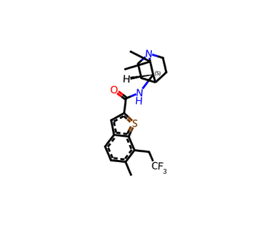 Cc1ccc2cc(C(=O)N[C@H]3C4CCN(CC4)C3(C)C)sc2c1CC(F)(F)F